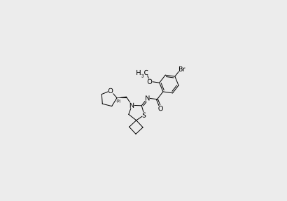 COc1cc(Br)ccc1C(=O)N=C1SC2(CCC2)CN1C[C@H]1CCCO1